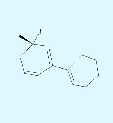 C[C@@]1(I)C=C(C2=CCCCC2)C=CC1